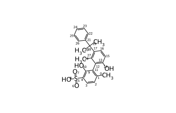 Cc1ccc(S(=O)(=O)O)c(O)c1-c1c(O)ccc(C(C)(C)c2ccccc2)c1C